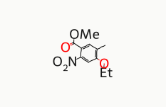 CCOc1cc([N+](=O)[O-])c(C(=O)OC)cc1C